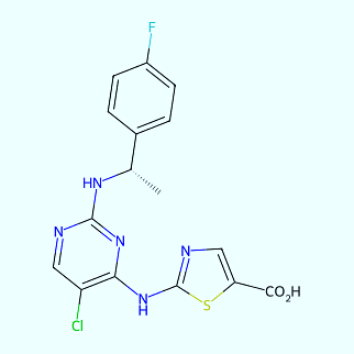 C[C@H](Nc1ncc(Cl)c(Nc2ncc(C(=O)O)s2)n1)c1ccc(F)cc1